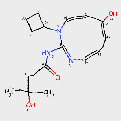 CC(C)(O)CC(=O)Nc1ncccc(O)ccn1C1CCC1